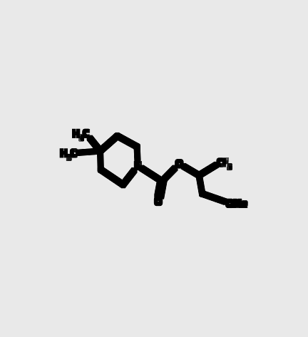 COCC(OC(=O)N1CCC(C)(C)CC1)C(F)(F)F